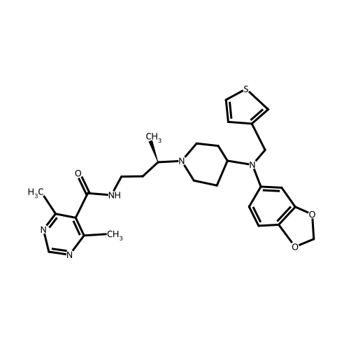 Cc1ncnc(C)c1C(=O)NCC[C@@H](C)N1CCC(N(Cc2ccsc2)c2ccc3c(c2)OCO3)CC1